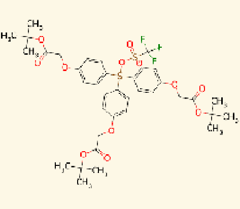 CC(C)(C)OC(=O)COc1ccc(S(OS(=O)(=O)C(F)(F)F)(c2ccc(OCC(=O)OC(C)(C)C)cc2)c2ccc(OCC(=O)OC(C)(C)C)cc2)cc1